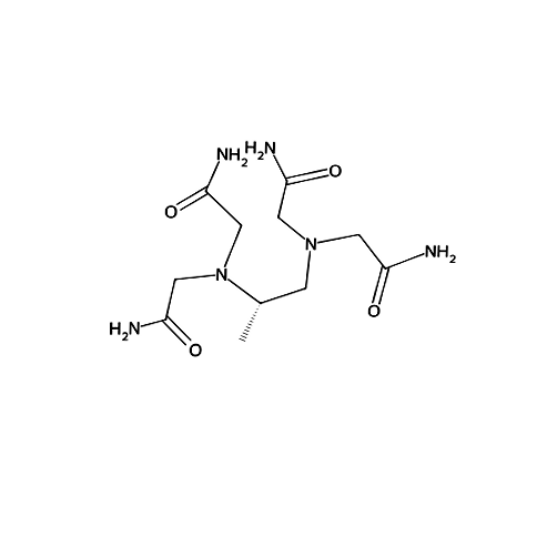 C[C@@H](CN(CC(N)=O)CC(N)=O)N(CC(N)=O)CC(N)=O